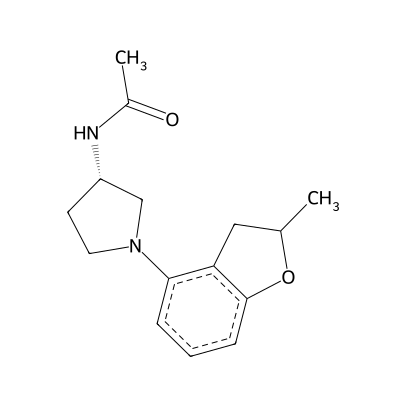 CC(=O)N[C@H]1CCN(c2cccc3c2CC(C)O3)C1